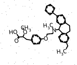 CCc1ccc2c(c1)CCc1ccc(-c3ccccc3)cc1C2N(C)CCOc1ccc(CC(OC)C(=O)O)cc1